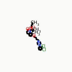 CCCC(=O)O[C@H](C(C)C)N1C(=O)CCc2ccc(OCCCCN3CCN(c4cccc(Cl)c4Cl)CC3)cc21